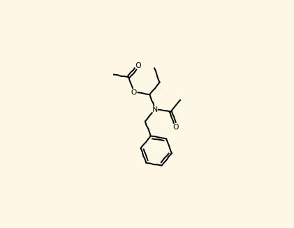 CCC(OC(C)=O)N(Cc1ccccc1)C(C)=O